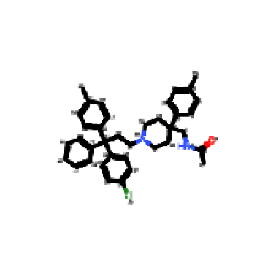 CC(=O)NCC1(c2ccc(C)cc2)CCN(CCC(c2ccccc2)(c2ccc(C)cc2)c2ccc(Cl)cc2)CC1